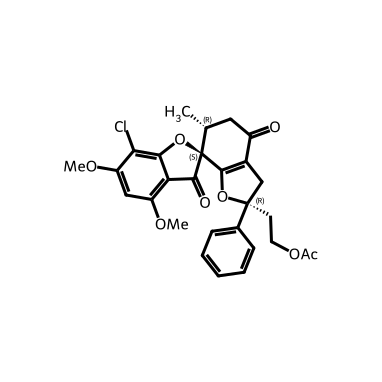 COc1cc(OC)c2c(c1Cl)O[C@]1(C2=O)C2=C(C[C@@](CCOC(C)=O)(c3ccccc3)O2)C(=O)C[C@H]1C